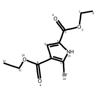 CCOC(=O)c1cc(C(=O)OCC)c(Br)[nH]1